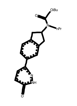 CCCN(C(=O)OCC(C)C)C1Cc2ccc(-c3ccc(=O)[nH]n3)cc2C1